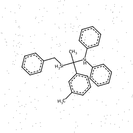 Cc1cccc(C(C)([SiH2]Cc2ccccc2)[SiH](c2ccccc2)c2ccccc2)c1